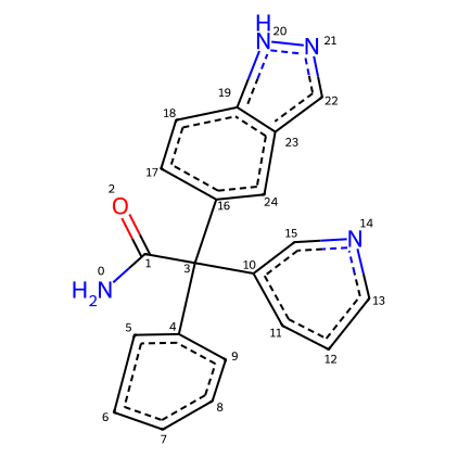 NC(=O)C(c1ccccc1)(c1cccnc1)c1ccc2[nH]ncc2c1